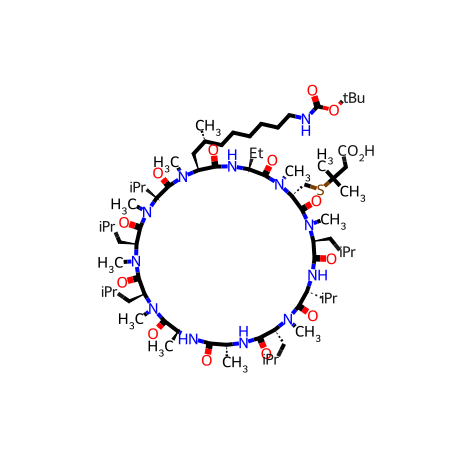 CC[C@@H]1NC(=O)[C@H](C[C@H](C)CCCCCCNC(=O)OC(C)(C)C)N(C)C(=O)[C@H](C(C)C)N(C)C(=O)[C@H](CC(C)C)N(C)C(=O)[C@H](CC(C)C)N(C)C(=O)[C@H](C)NC(=O)[C@@H](C)NC(=O)[C@@H](CC(C)C)N(C)C(=O)[C@@H](C(C)C)NC(=O)[C@H](CC(C)C)N(C)C(=O)[C@@H](CSC(C)(C)CC(=O)O)N(C)C1=O